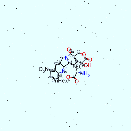 CCCCCCOC(=O)CN.CC[C@@]1(O)C(=O)OCc2c1cc1n(c2=O)Cc2cc3c([N+](=O)[O-])cccc3nc2-1